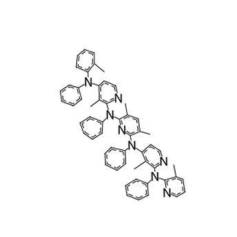 Cc1ccccc1N(c1ccccc1)c1ccnc(N(c2ccccc2)c2nc(N(c3ccccc3)c3ccnc(N(c4ccccc4)c4ncccc4C)c3C)c(C)cc2C)c1C